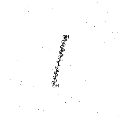 OOOOOOOOCCCOOOOOOOOO